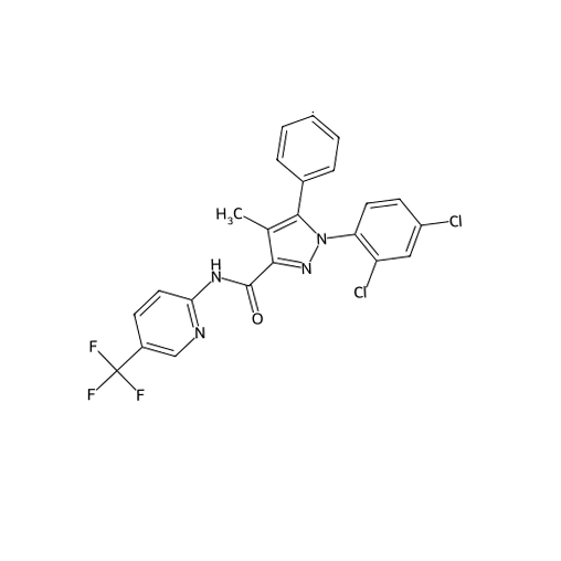 Cc1c(C(=O)Nc2ccc(C(F)(F)F)cn2)nn(-c2ccc(Cl)cc2Cl)c1-c1cc[c]cc1